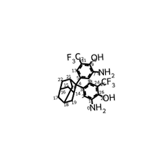 Nc1cc(C2(c3cc(N)c(O)c(C(F)(F)F)c3)C3CC4CC(C3)CC2C4)cc(C(F)(F)F)c1O